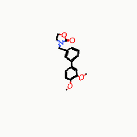 COc1ccc(-c2cccc(CN3CCOC3=O)c2)cc1OC